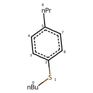 CCCCSc1ccc(CCC)cc1